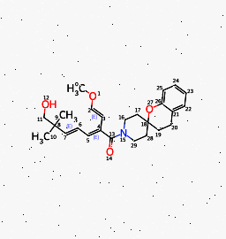 CO/C=C/C(=C\C=C\C(C)(C)CO)C(=O)N1CCC2(CCc3ccccc3O2)CC1